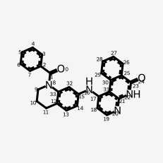 O=C(c1ccccc1)N1CCCc2ccc(Nc3ccnc4[nH]c(=O)c5ccccc5c34)cc21